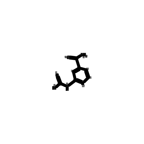 CCC(=O)Nc1cc(C(N)=O)ccn1